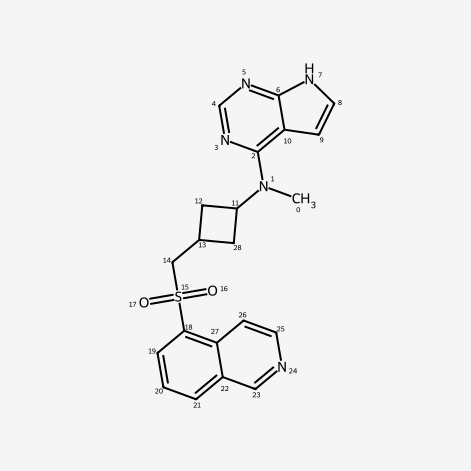 CN(c1ncnc2[nH]ccc12)C1CC(CS(=O)(=O)c2cccc3cnccc23)C1